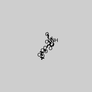 COCCN1C(=O)c2c(CCOC(=O)OC(C)(C)C(=O)OC(C)(C)C)c(=O)ccn2N[C@@H]1C